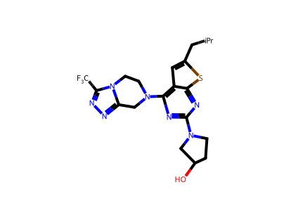 CC(C)Cc1cc2c(N3CCn4c(nnc4C(F)(F)F)C3)nc(N3CCC(O)C3)nc2s1